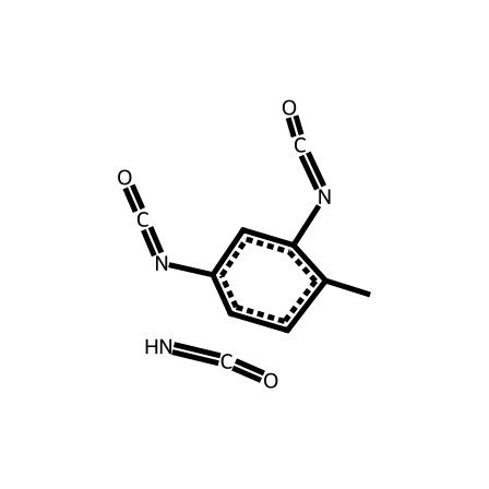 Cc1ccc(N=C=O)cc1N=C=O.N=C=O